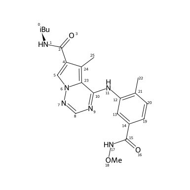 CC[C@H](C)NC(=O)c1cn2ncnc(Nc3cc(C(=O)NOC)ccc3C)c2c1C